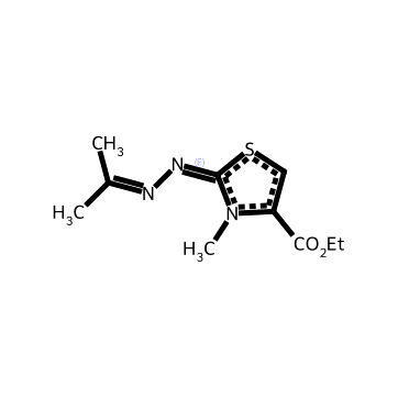 CCOC(=O)c1cs/c(=N/N=C(C)C)n1C